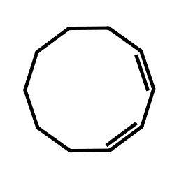 C1=CCCCCCCC=C1